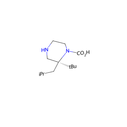 CC(C)C[C@@]1(C(C)(C)C)CNCCN1C(=O)O